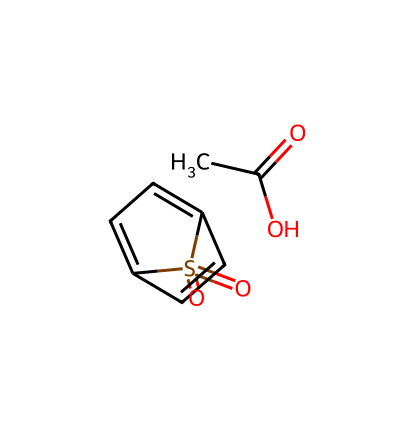 CC(=O)O.O=S1(=O)C2=CC=C1C=C2